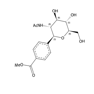 COC(=O)c1ccc([C@@H]2O[C@H](CO)[C@@H](O)[C@H](O)[C@H]2NC(C)=O)cc1